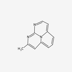 CC1=CC2=CC=CC3=CC=NC(=N1)N32